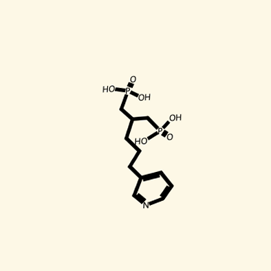 O=P(O)(O)CC(CCCc1cccnc1)CP(=O)(O)O